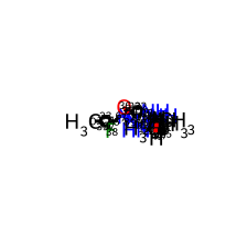 Cc1ccc(CCn2cnc3cc(NC(=N)N4CCNCC4[C@H]4C[C@H]5C[C@@H]([C@@H]4C)C5(C)C)ccc3c2=O)c(F)c1